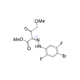 COCC(=O)/C(=N/Nc1cc(F)c(Br)cc1F)C(=O)OC